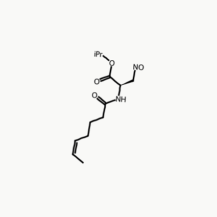 C/C=C\CCCC(=O)N[C@H](CN=O)C(=O)OC(C)C